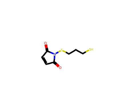 O=C1C=CC(=O)N1SCCCS